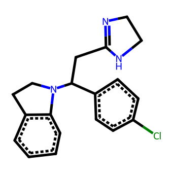 Clc1ccc(C(CC2=NCCN2)N2CCc3ccccc32)cc1